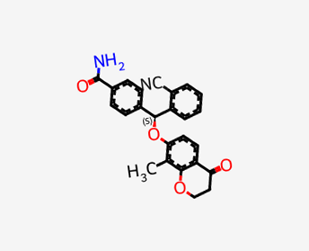 Cc1c(O[C@@H](c2ccc(C(N)=O)cc2)c2ccccc2C#N)ccc2c1OCCC2=O